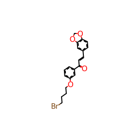 O=C(C=Cc1ccc2c(c1)OCO2)c1cccc(OCCCCBr)c1